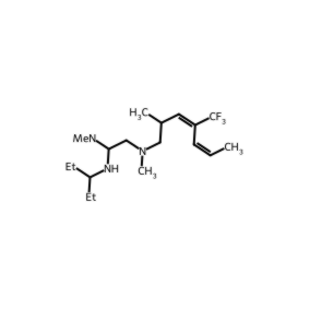 C/C=C\C(=C/C(C)CN(C)CC(NC)NC(CC)CC)C(F)(F)F